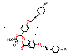 CCCC1CCC(/C=C/COc2ccc(C(=O)O[C@H](C)[C@@H](C)OC(=O)c3ccc(OC/C=C/C4CCC(CCC)CC4)cc3)cc2)CC1